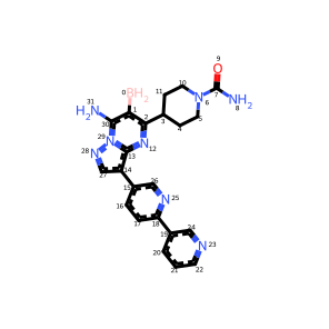 Bc1c(C2CCN(C(N)=O)CC2)nc2c(-c3ccc(-c4cccnc4)nc3)cnn2c1N